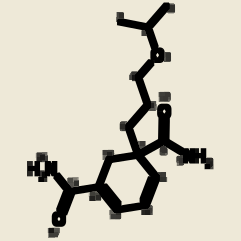 CC(C)OCCCC1(C(N)=O)C=CC=C(C(N)=O)C1